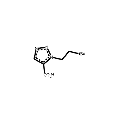 CC(C)(C)CCn1nncc1C(=O)O